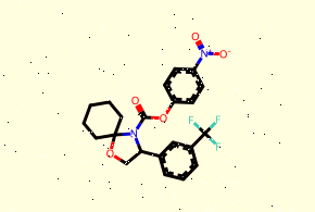 O=C(Oc1ccc([N+](=O)[O-])cc1)N1C(c2cccc(C(F)(F)F)c2)COC12CCCCC2